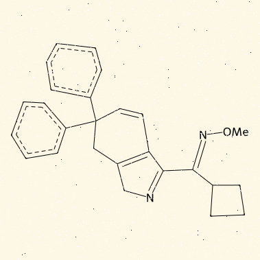 CON=C(C1=NCC2=C1C=CC(c1ccccc1)(c1ccccc1)C2)C1CCC1